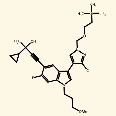 COCCCn1cc(-c2cn(COCC[Si](C)(C)C)nc2Cl)c2cc(C#CC(C)(O)C3CC3)c(F)cc21